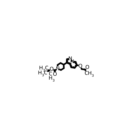 CC(=O)COc1ccc2c(C3CCN(C(=O)OC(C)(C)C)CC3)cnn2c1